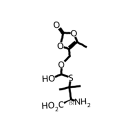 Cc1oc(=O)oc1COC(O)SC(C)(C)[C@@H](N)C(=O)O